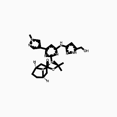 CN(c1nc(Nc2cc(CO)[nH]n2)cc(-c2cnn(C)c2)n1)[C@@H]1C[C@H]2CC[C@@H](C1)N2C(=O)OC(C)(C)C